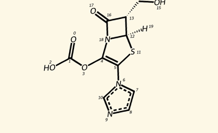 O=C(O)OC1=C(n2ccnc2)S[C@@H]2[C@@H](CO)C(=O)N12